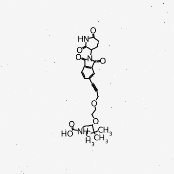 CC(C)(C)C(CNC(=O)O)OCCOCC#Cc1ccc2c(c1)C(=O)N(C1CCC(=O)NC1=O)C2=O